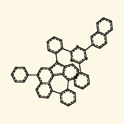 c1ccc(-c2nc(-c3ccc4ccccc4c3)nc(-c3ccccc3-n3c4cccc5c4c4c6c(cccc6c(-c6ccccc6)cc43)-c3ccccc3-5)n2)cc1